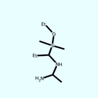 CCO[Si](C)(C)C(CC)NC(C)N